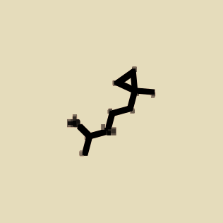 CC(O)NCCC1(C)CC1